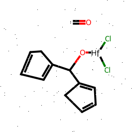 [C]=O.[Cl][Hf]([Cl])[O][C](C1=CC=CC1)C1=CC=CC1